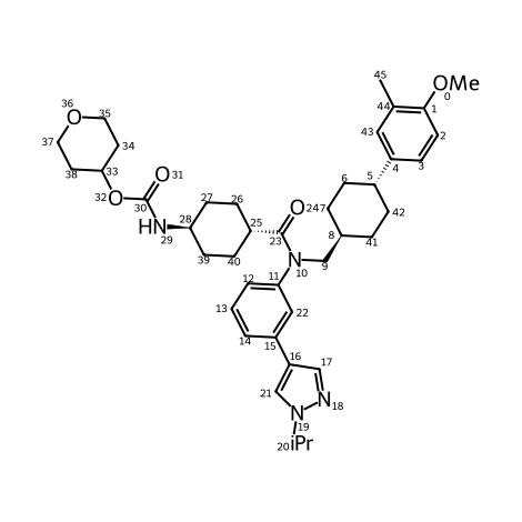 COc1ccc([C@H]2CC[C@H](CN(c3cccc(-c4cnn(C(C)C)c4)c3)C(=O)[C@H]3CC[C@H](NC(=O)OC4CCOCC4)CC3)CC2)cc1C